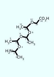 CC(N)OC(C)OC(C)OC(C)OCC(=O)O